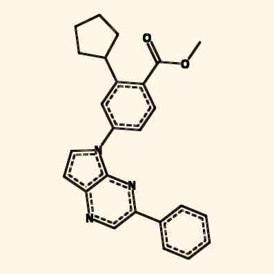 COC(=O)c1ccc(-n2ccc3ncc(-c4ccccc4)nc32)cc1C1CCCC1